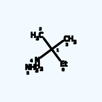 CCC(C)(C)N.N